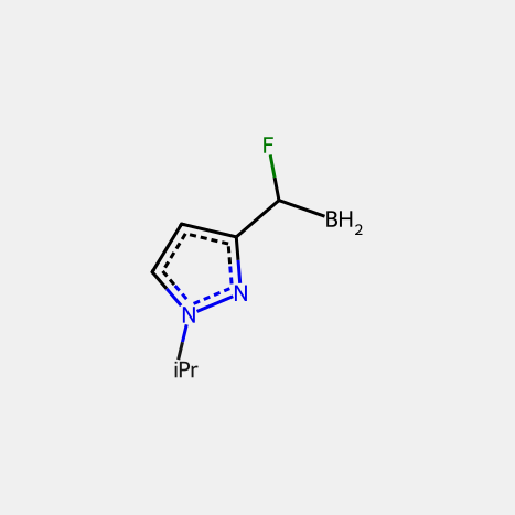 BC(F)c1ccn(C(C)C)n1